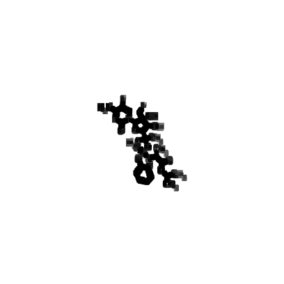 CC(C)OC(=O)[C@H](C)NP(=O)(Oc1ccccc1)OC(C)(C)[C@H]1O[C@@H](n2cc(F)c(N)nc2=O)[C@@](O)(CF)C1O